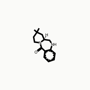 CC1(C)CCN2C(=O)c3ccccc3NC[C@@H]2C1